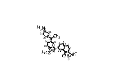 Cc1c(OC(C)C)ccc2ccc(-c3nnc4ccc([C@@H](N5CC[C@H](N)C5)C(F)(F)F)cn34)nc12.Cl